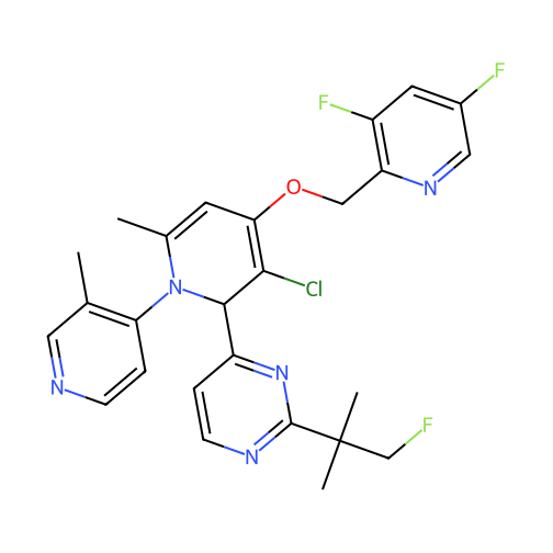 CC1=CC(OCc2ncc(F)cc2F)=C(Cl)C(c2ccnc(C(C)(C)CF)n2)N1c1ccncc1C